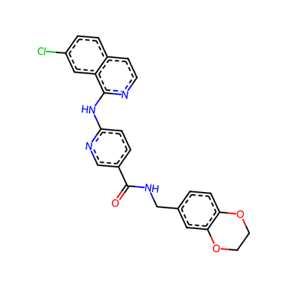 O=C(NCc1ccc2c(c1)OCCO2)c1ccc(Nc2nccc3ccc(Cl)cc23)nc1